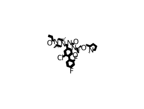 C=CC(=O)N1C[C@H](C)N(c2nc(=O)n3c4c(c(-c5ccc(F)cc5F)c(Cl)cc24)OC[C@@H]3COCC2CCCN2C)C[C@H]1C